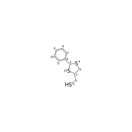 SCC1CSC(c2ccccc2)S1